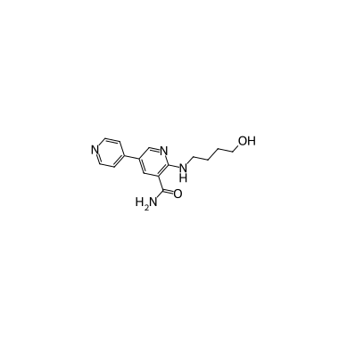 NC(=O)c1cc(-c2ccncc2)cnc1NCCCCO